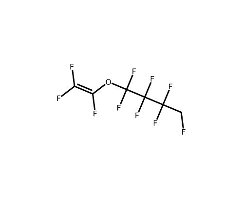 FCC(F)(F)C(F)(F)C(F)(F)OC(F)=C(F)F